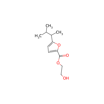 CC(C)C(C)c1ccc(C(=O)OCCO)o1